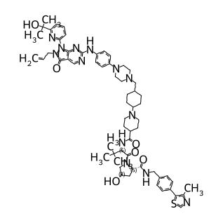 C=CCn1c(=O)c2cnc(Nc3ccc(N4CCN(CC5CCC(N6CCC(C(=O)N[C@H](C(=O)N7C[C@H](O)C[C@H]7C(=O)NCc7ccc(-c8scnc8C)cc7)C(C)(C)C)CC6)CC5)CC4)cc3)nc2n1-c1cccc(C(C)(C)O)n1